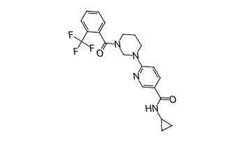 O=C(NC1CC1)c1ccc(N2CCCN(C(=O)c3ccccc3C(F)(F)F)C2)nc1